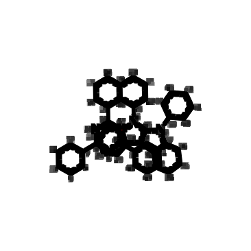 c1ccc(-c2nc(-c3ccccc3)nc(-c3cccc4cccc(-n5c6ccccc6c6c7ccccc7n(-c7ccccc7)c65)c34)n2)cc1